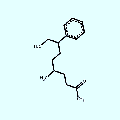 CCC(CCC(C)CCC(C)=O)c1ccccc1